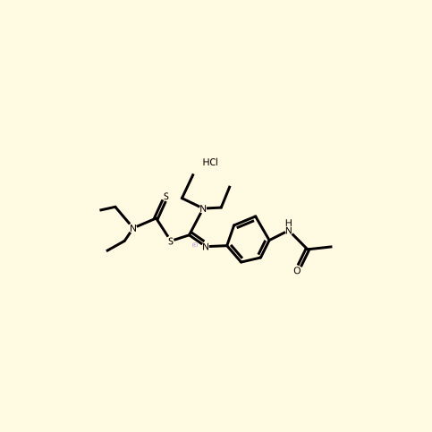 CCN(CC)C(=S)S/C(=N/c1ccc(NC(C)=O)cc1)N(CC)CC.Cl